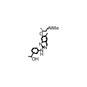 CNCC[C@H](C)Oc1cc2nc(Nc3cccc(C(C)O)c3)ncc2cc1C